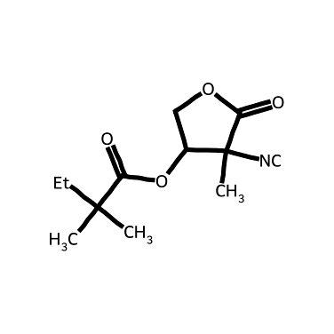 [C-]#[N+]C1(C)C(=O)OCC1OC(=O)C(C)(C)CC